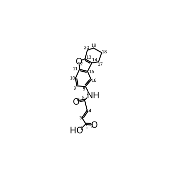 O=C(O)C=CC(=O)Nc1ccc2oc3c(c2c1)CCCC3